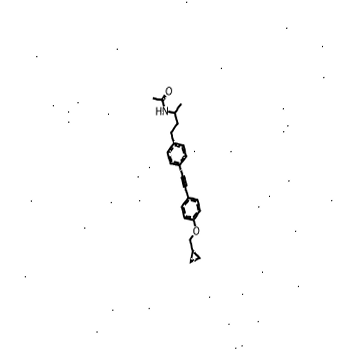 CC(=O)NC(C)CCc1ccc(C#Cc2ccc(OCC3CC3)cc2)cc1